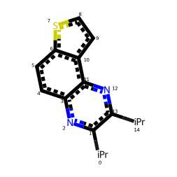 CC(C)c1nc2ccc3sccc3c2nc1C(C)C